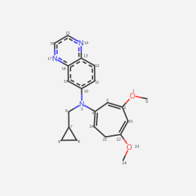 COC1=CC(N(CC2CC2)c2ccc3nccnc3c2)=CCC(OC)=C1